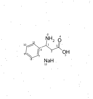 NC(CC(=O)O)c1ccccc1.[NaH]